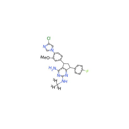 [2H]C([2H])([2H])Nc1nc(N)c2c(n1)C(c1ccc(F)cc1)CC2c1ccc(-n2cnc(Cl)c2)c(OC)c1